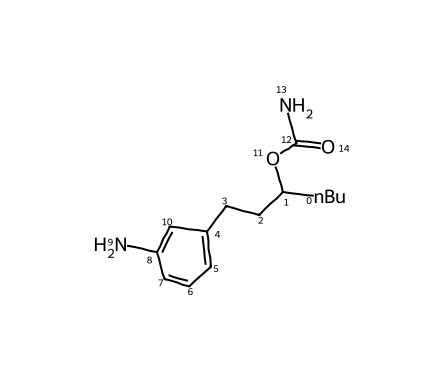 CCCCC(CCc1cccc(N)c1)OC(N)=O